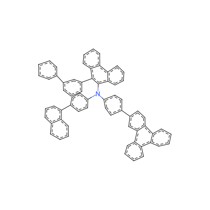 c1ccc(-c2cccc(-c3c(N(c4ccc(-c5ccc6c7ccccc7c7ccccc7c6c5)cc4)c4ccc(-c5cccc6ccccc56)cc4)c4ccccc4c4ccccc34)c2)cc1